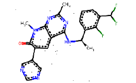 Cc1nc(N[C@H](C)c2cccc(C(F)F)c2F)c2cc(-c3cncnc3)c(=O)n(C)c2n1